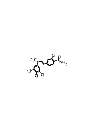 NC(=O)c1ccc(/C=C/C(c2cc(Cl)c(Cl)c(Cl)c2)C(F)(F)F)cc1Cl